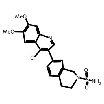 COc1cc2ncc(-c3ccc4c(c3)CN(S(N)(=O)=O)CC4)c(Cl)c2cc1OC